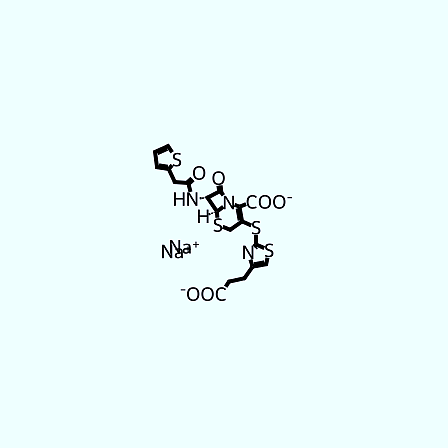 O=C([O-])CCc1csc(SC2=C(C(=O)[O-])N3C(=O)[C@@H](NC(=O)Cc4cccs4)[C@@H]3SC2)n1.[Na+].[Na+]